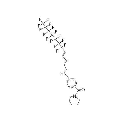 O=C(c1ccc(NCCCC=CC(F)(F)C(F)(F)C(F)(F)C(F)(F)C(F)(F)C(F)(F)C(F)(F)F)cc1)N1CCCCC1